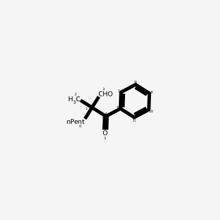 CCCCCC(C)(C=O)C(=O)c1ccccc1